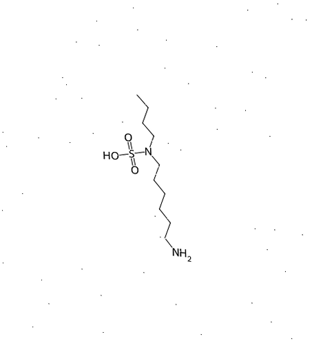 CCCCN(CCCCCCN)S(=O)(=O)O